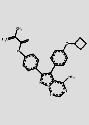 C=C(C)C(=O)Nc1ccc(-c2nn3ncnc(N)c3c2-c2ccc(OC3CCC3)cc2)cc1